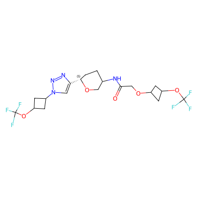 O=C(COC1CC(OC(F)(F)F)C1)NC1CC[C@@H](c2cn(C3CC(OC(F)(F)F)C3)nn2)OC1